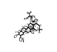 C[C@@H]1C(=O)C(C#N)=C[C@]2(C)C3=CC(=O)[C@@H]4[C@@H]5CC(C)(C)CC[C@]5(C(=O)ONC(=N)C(F)F)CC[C@@]4(C)[C@]3(C)CC[C@@H]12